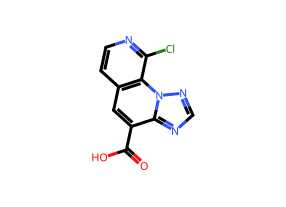 O=C(O)c1cc2ccnc(Cl)c2n2ncnc12